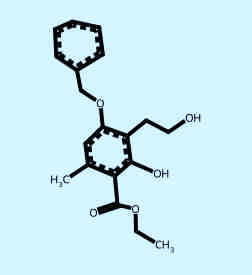 CCOC(=O)c1c(C)cc(OCc2ccccc2)c(CCO)c1O